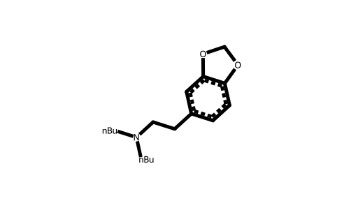 CCCCN(CCCC)CCc1ccc2c(c1)OCO2